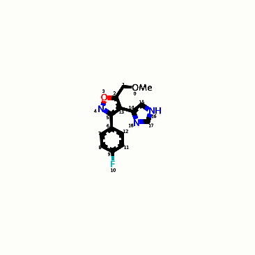 COCc1onc(-c2ccc(F)cc2)c1-c1c[nH]cn1